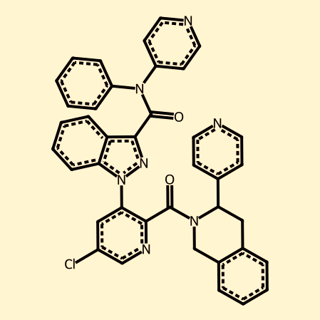 O=C(c1nn(-c2cc(Cl)cnc2C(=O)N2Cc3ccccc3CC2c2ccncc2)c2ccccc12)N(c1ccccc1)c1ccncc1